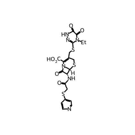 CCn1c(SCC2=C(C(=O)O)N3C(=O)[C@@H](NC(=O)CSc4ccncc4)[C@@H]3SC2)n[nH]c(=O)c1=O